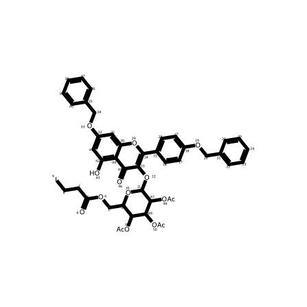 CC(=O)OC1C(COC(=O)CCI)OC(Oc2c(-c3ccc(OCc4ccccc4)cc3)oc3cc(OCc4ccccc4)cc(O)c3c2=O)C(OC(C)=O)C1OC(C)=O